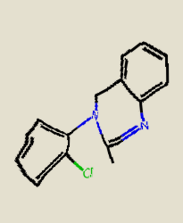 CC1=Nc2ccccc2CN1c1ccccc1Cl